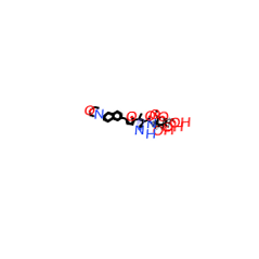 COC1O[C@H](CO)[C@@H](O)[C@H](O)[C@H]1NC(=O)/C(C#N)=C(\C)c1ccc(-c2ccc3cc(N4CCOCC4)ccc3c2)o1